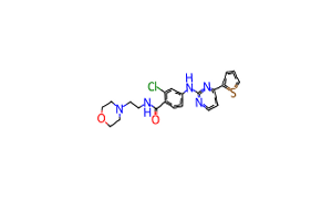 O=C(NCCN1CCOCC1)c1ccc(Nc2nccc(-c3cccs3)n2)cc1Cl